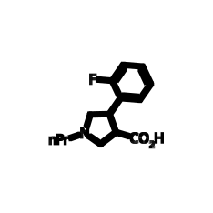 CCCN1CC(C(=O)O)C(c2ccccc2F)C1